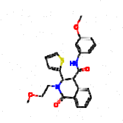 COCCN1C(=O)c2ccccc2C(C(=O)Nc2cccc(OC)c2)C1c1cccs1